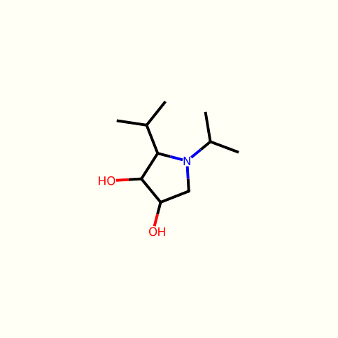 CC(C)C1C(O)C(O)CN1C(C)C